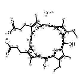 CCC1=C(C)c2nc1c(O)c1[nH]c(cc3nc(cc4[nH]c(c2O)c(CC)c4C)C(C)=C3CCC(=O)[O-])c(CCC(=O)[O-])c1C.[Co+2]